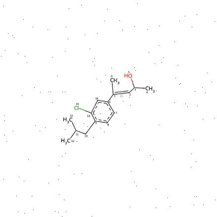 C/C(=C\C(C)O)c1ccc(CC(C)C)c(Cl)c1